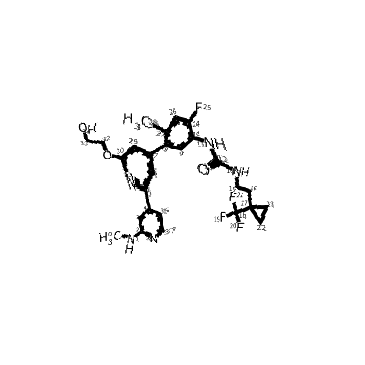 CNc1cc(-c2cc(-c3cc(NC(=O)NCCC4(C(F)(F)F)CC4)c(F)cc3C)cc(OCCO)n2)ccn1